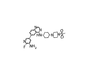 CS(=O)(=O)N1CCN(C2CCC(Nc3ncnc4ccc(-c5cnc(F)c(N)c5)cc34)CC2)CC1